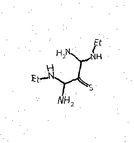 CCNC(N)C(=S)C(N)NCC